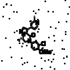 COc1ccc(N2C[C@H](C)n3ncc(-c4ccnc(C)c4)c3C2=O)cc1Cl